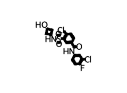 O=C(Nc1ccc(F)c(Cl)c1)c1ccc(Cl)c(S(=O)(=O)NC2CC(O)C2)c1